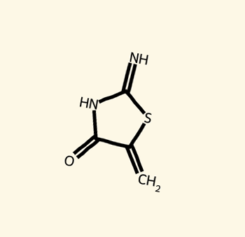 C=C1SC(=N)NC1=O